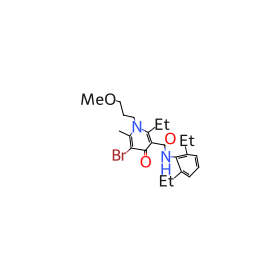 CCc1cccc(CC)c1NC(=O)c1c(CC)n(CCCOC)c(C)c(Br)c1=O